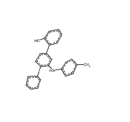 Cc1ccc(Nc2cc(-c3ccccc3O)ccc2-c2ccccc2)cc1